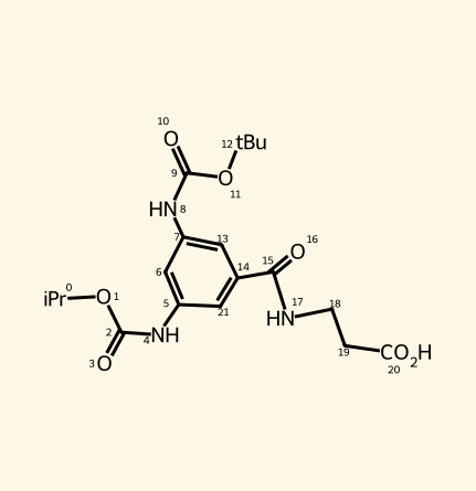 CC(C)OC(=O)Nc1cc(NC(=O)OC(C)(C)C)cc(C(=O)NCCC(=O)O)c1